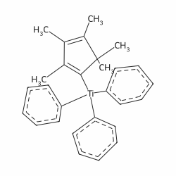 CC1=C(C)C(C)(C)[C]([Ti]([c]2ccccc2)([c]2ccccc2)[c]2ccccc2)=C1C